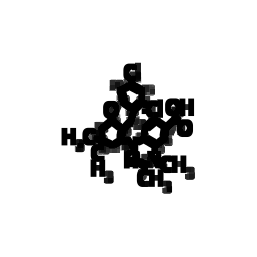 CC(=O)N(C)c1cc(C(=O)O)ccc1NC1=C(Cc2ccc(Cl)cc2Cl)C(=O)CC(C)(C)C1